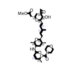 COC(=O)C[C@@H]1C[C@@]2(CO2)[C@H](O)[C@@H](/C=C/C(C)=C/C[C@@H]2O[C@H](C)[C@H](NC(=O)/C=C\[C@H](C)OC(=O)N3CCOCC3)C[C@@H]2C)O1